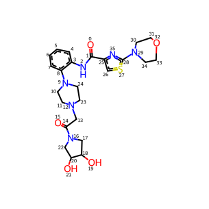 O=C(Nc1ccccc1N1CCN(CC(=O)N2CC(O)C(O)C2)CC1)c1csc(N2CCOCC2)n1